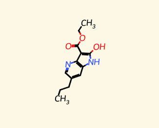 CCCc1cnc2c(C(=O)OCC)c(O)[nH]c2c1